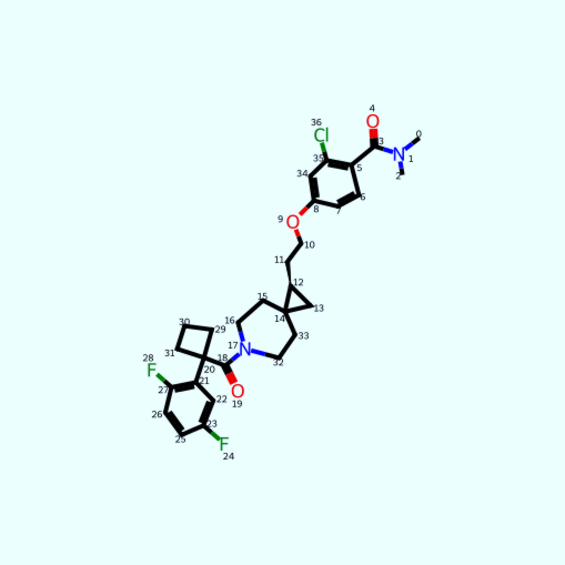 CN(C)C(=O)c1ccc(OCC[C@H]2CC23CCN(C(=O)C2(c4cc(F)ccc4F)CCC2)CC3)cc1Cl